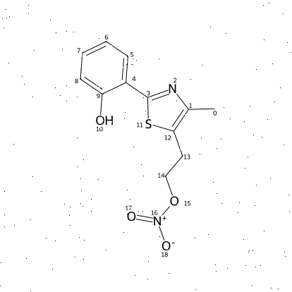 Cc1nc(-c2ccccc2O)sc1CCO[N+](=O)[O-]